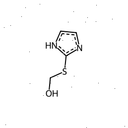 OCSc1ncc[nH]1